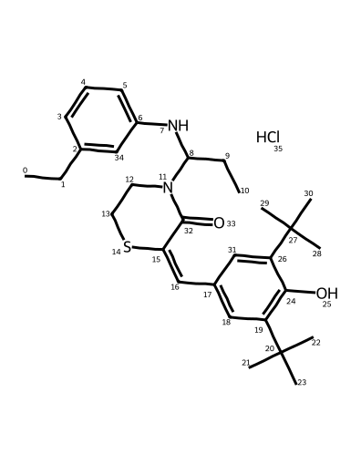 CCc1cccc(NC(CC)N2CCS/C(=C/c3cc(C(C)(C)C)c(O)c(C(C)(C)C)c3)C2=O)c1.Cl